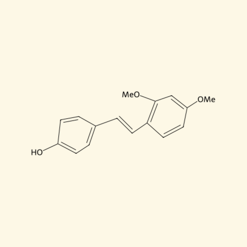 COc1ccc(C=Cc2ccc(O)cc2)c(OC)c1